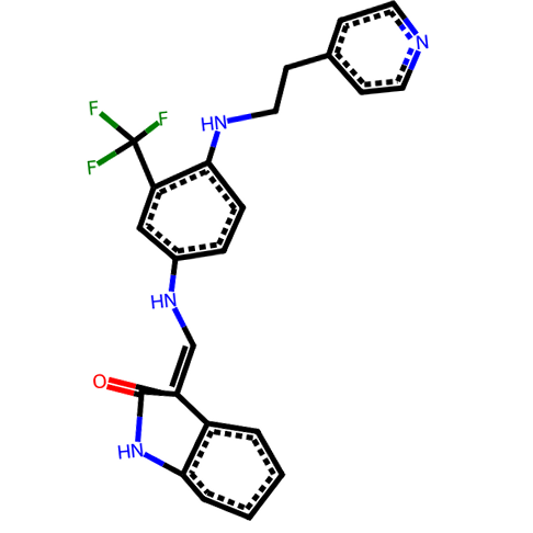 O=C1Nc2ccccc2C1=CNc1ccc(NCCc2ccncc2)c(C(F)(F)F)c1